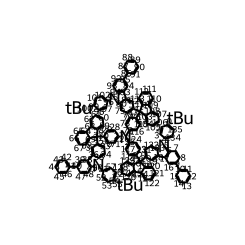 CC(C)(C)c1ccc(-n2c3ccc(-c4ccccc4)cc3c3cc(C4(c5ccc(N(c6ccc(C7(c8ccc9c(c8)c8cc(-c%10ccccc%10)ccc8n9-c8ccc(C(C)(C)C)cc8)c8ccccc8-c8ccccc87)cc6)c6ccc(C7(c8ccc9c(c8)c8cc(-c%10ccccc%10)ccc8n9-c8ccc(C(C)(C)C)cc8)c8ccccc8-c8ccccc87)cc6)cc5)c5ccccc5-c5ccccc54)ccc32)cc1